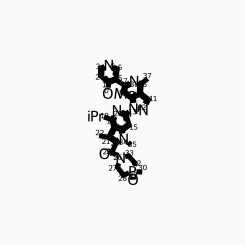 COc1ccncc1-c1cc2c(cnn2-c2cc3c(c(C(C)C)n2)c(C)c(C(=O)N2CCP(C)(=O)CC2)n3C)c(C)n1